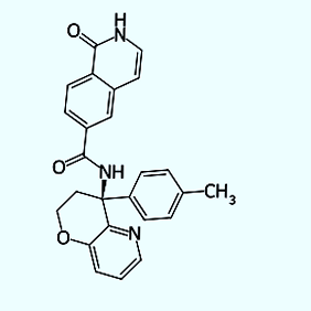 Cc1ccc([C@@]2(NC(=O)c3ccc4c(=O)[nH]ccc4c3)CCOc3cccnc32)cc1